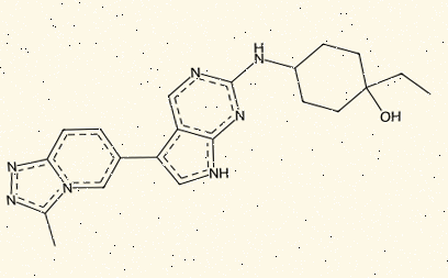 CCC1(O)CCC(Nc2ncc3c(-c4ccc5nnc(C)n5c4)c[nH]c3n2)CC1